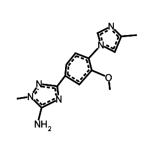 COc1cc(-c2nc(N)n(C)n2)ccc1-n1cnc(C)c1